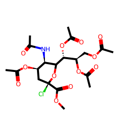 COC(=O)[C@]1(Cl)C[C@@H](OC(C)=O)[C@@H](NC(C)=O)C([C@H](OC(C)=O)[C@@H](COC(C)=O)OC(C)=O)O1